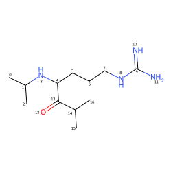 CC(C)NC(CCCNC(=N)N)C(=O)C(C)C